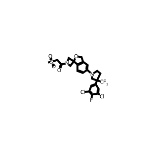 CS(=O)(=O)CC(=O)N1CC2(C1)OCc1cc(N3CCC(c4cc(Cl)c(F)c(Cl)c4)(C(F)(F)F)C3)ccc12